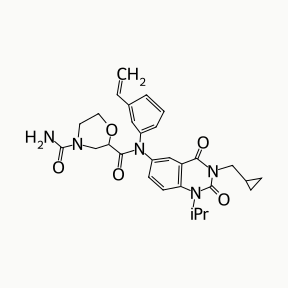 C=Cc1cccc(N(C(=O)C2CN(C(N)=O)CCO2)c2ccc3c(c2)c(=O)n(CC2CC2)c(=O)n3C(C)C)c1